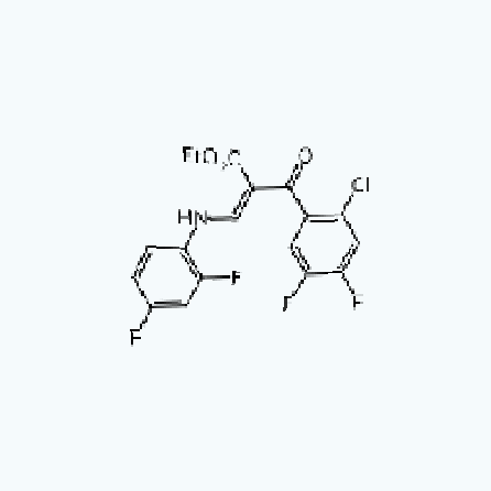 CCOC(=O)/C(=C\Nc1ccc(F)cc1F)C(=O)c1cc(F)c(F)cc1Cl